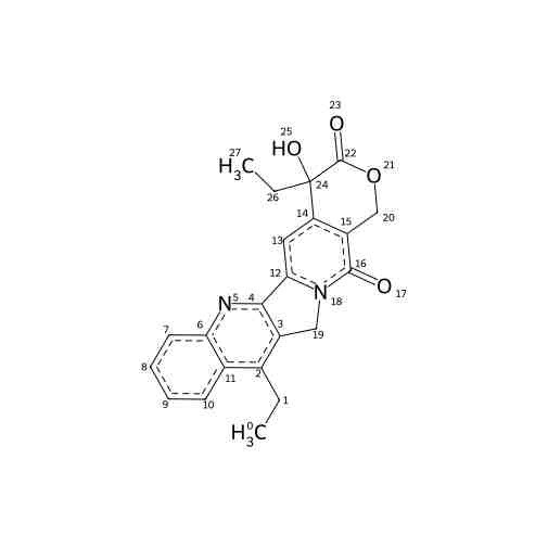 CCc1c2c(nc3ccccc13)-c1cc3c(c(=O)n1C2)COC(=O)C3(O)CC